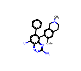 COc1cc2c(cc1-c1c(-c3ccccc3)cc(N)c3nnc(N)nc13)CN(C)CC2